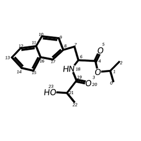 CC(C)OC(=O)C(Cc1ccc2ccccc2c1)NC(=O)C(C)O